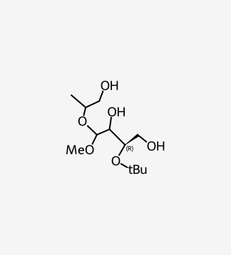 COC(OC(C)CO)C(O)[C@@H](CO)OC(C)(C)C